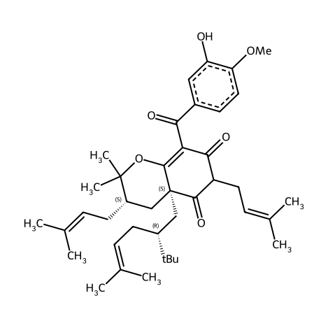 COc1ccc(C(=O)C2=C3OC(C)(C)[C@@H](CC=C(C)C)C[C@]3(C[C@@H](CC=C(C)C)C(C)(C)C)C(=O)C(CC=C(C)C)C2=O)cc1O